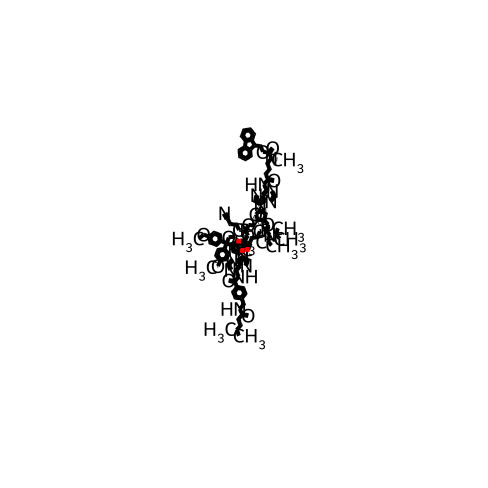 C#CCCOP(OC1C[C@H](n2cnc3c(NC(=O)CCCN(C)C(=O)OCC4c5ccccc5-c5ccccc54)ncnc32)O[C@@H]1COP(OCCC#N)OC1C[C@H](n2cnc3c(NC(=O)c4ccc(CNC(=O)CCC(C)C)cc4)ncnc32)O[C@@H]1COC(c1ccccc1)(c1ccc(OC)cc1)c1ccc(OC)cc1)N(C(C)C)C(C)C